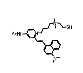 CC(=O)Nc1cc[n+](CCCC[N+](C)(C)CCS)c(/C=C/c2ccc(N(C)C)c3ccccc23)c1